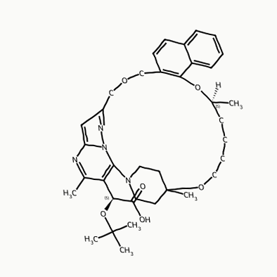 Cc1nc2cc3nn2c(c1[C@H](OC(C)(C)C)C(=O)O)N1CCC(C)(CC1)OCCCC[C@H](C)Oc1c(ccc2ccccc12)COC3